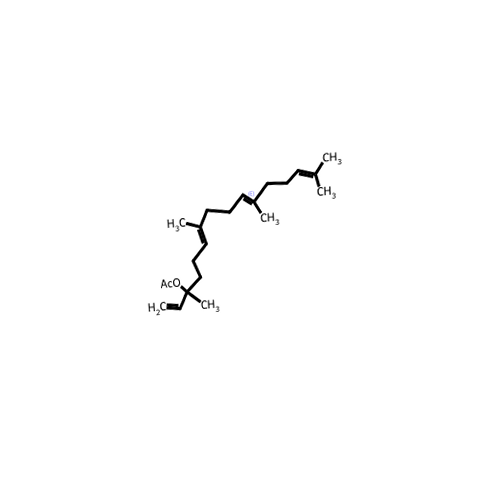 C=CC(C)(CCC=C(C)CC/C=C(\C)CCC=C(C)C)OC(C)=O